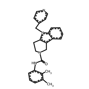 Cc1cccc(NC(=O)N2CCc3c(c4ccccc4n3Cc3ccncc3)C2)c1C